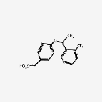 CC(Oc1ccc(CC(=O)O)cc1)c1ccccc1C(F)(F)F